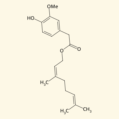 COc1cc(CC(=O)OCC=C(C)CCC=C(C)C)ccc1O